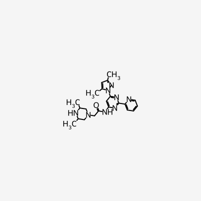 Cc1cc(C)n(-c2cc(NC(=O)CN3CC(C)NC(C)C3)nc(-c3ccccn3)n2)n1